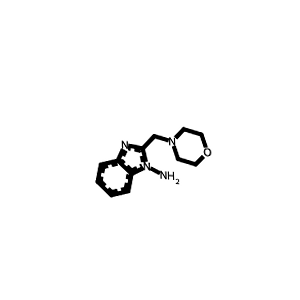 Nn1c(CN2CCOCC2)nc2ccccc21